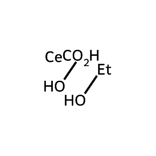 CCO.O=C(O)O.[Ce]